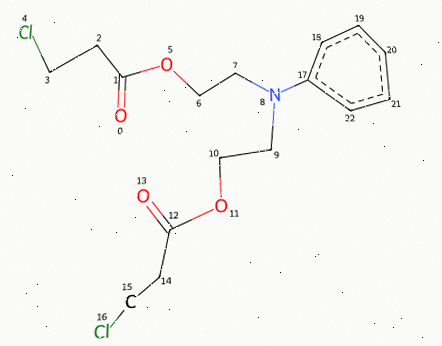 O=C(CCCl)OCCN(CCOC(=O)CCCl)c1ccccc1